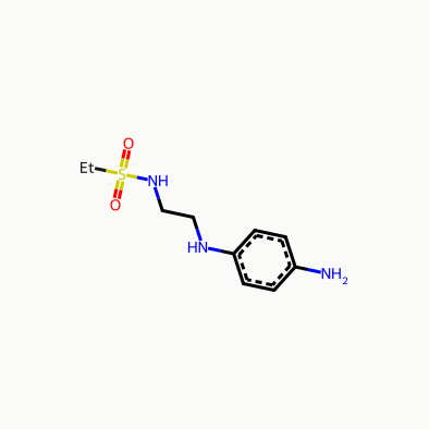 CCS(=O)(=O)NCCNc1ccc(N)cc1